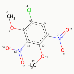 COc1c(Cl)cc([N+](=O)[O-])c(OC)c1[N+](=O)[O-]